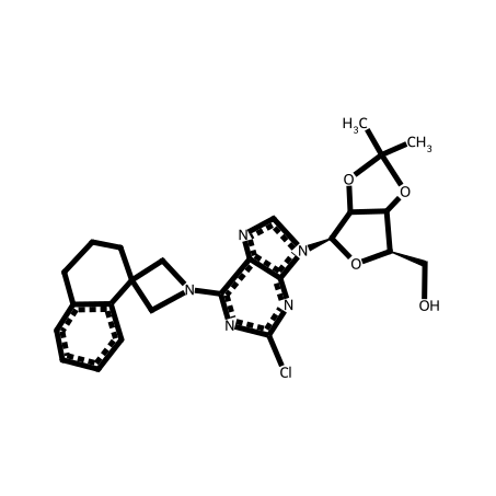 CC1(C)OC2C(O1)[C@@H](CO)O[C@H]2n1cnc2c(N3CC4(CCCc5ccccc54)C3)nc(Cl)nc21